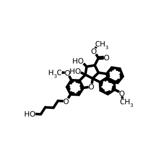 COC(=O)C1C(O)C2(O)c3c(OC)cc(OCCCCO)cc3OC2(c2ccc(OC)cc2)C1c1ccccc1